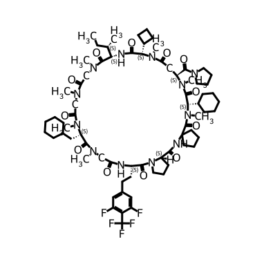 CC[C@H](C)[C@@H]1NC(=O)[C@H](C2CCC2)N(C)C(=O)C[C@@H](C(=O)N2CCCC2)N(C)C(=O)[C@H](C2CCCCC2)N(C)C(=O)C2(CCCC2)NC(=O)[C@@H]2CCCN2C(=O)[C@H](CCc2cc(F)c(C(F)(F)F)c(F)c2)NC(=O)CN(C)C(=O)[C@H](CC2CCCCC2)N(C)C(=O)CN(C)C(=O)CN(C)C1=O